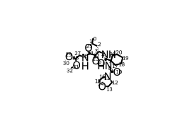 CCC[C@H](NC(=O)C1(NC(=O)N2CCOCC2)CCCCC1)C(=O)C(=O)NCC(OC)OC